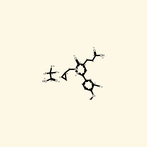 COc1ccc(-c2cc(CCC(=O)O)c(=O)n(CC3CC3)n2)cc1F.O=C(O)C(F)(F)F